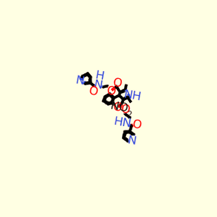 CC1=C(C(=O)OCCNC(=O)c2cccnc2)C(c2ccccc2[N+](=O)[O-])C(C(=O)OCCNC(=O)c2cccnc2)=C(C)N1